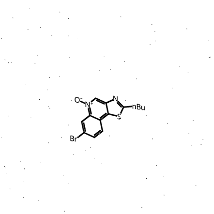 CCCCc1nc2c[n+]([O-])c3cc(Br)ccc3c2s1